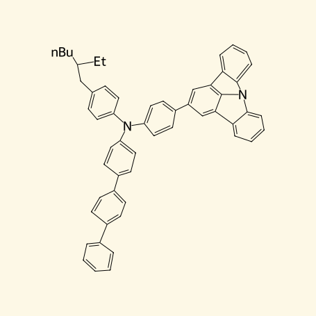 CCCCC(CC)Cc1ccc(N(c2ccc(-c3ccc(-c4ccccc4)cc3)cc2)c2ccc(-c3cc4c5ccccc5n5c6ccccc6c(c3)c45)cc2)cc1